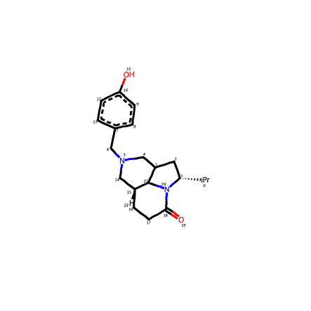 CC(C)[C@H]1CC2CN(Cc3ccc(O)cc3)C[C@H]3CCC(=O)N1C23